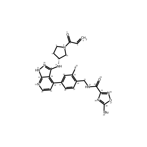 C=CC(=O)N1CC[C@@H](Nc2n[nH]c3nccc(-c4ccc(CNC(=O)c5noc(C(C)(C)C)n5)c(F)c4)c23)C1